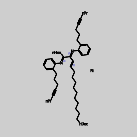 CCCC#CCCCc1ccccc1/N=C(\C=C\CCCCCCCCCCCCCCCCCCCC)C(/CCCCCC)=N/c1ccccc1CCCC#CCCC.[Ni]